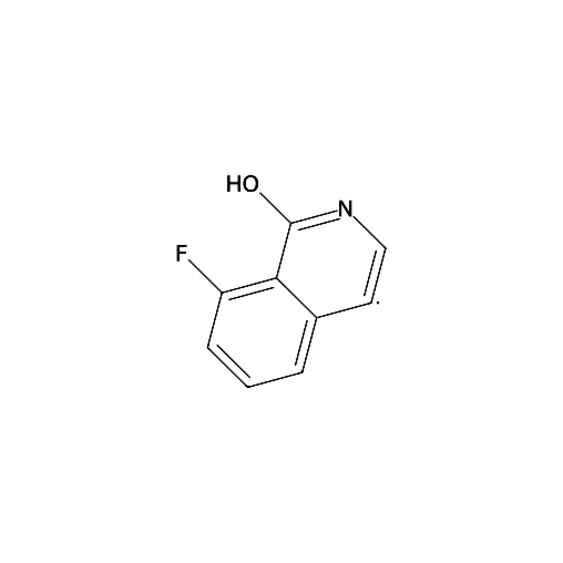 Oc1nc[c]c2cccc(F)c12